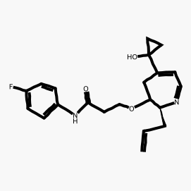 C=CC[C@@H]1N=CC=C(C2(O)CC2)CC1OCCC(=O)Nc1ccc(F)cc1